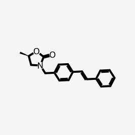 C[C@@H]1CN(Cc2ccc(C=Cc3ccccc3)cc2)C(=O)O1